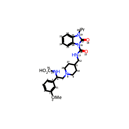 COc1cccc(C(CN2CCC(CNC(=O)n3c(=O)n(C(C)C)c4ccccc43)CC2)NC(=O)O)c1